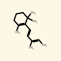 CC=C(C)C=CC1=C(C)CCCC1(C)C